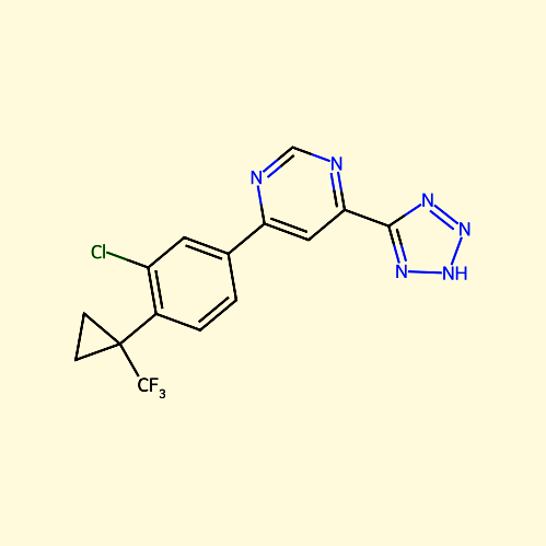 FC(F)(F)C1(c2ccc(-c3cc(-c4nn[nH]n4)ncn3)cc2Cl)CC1